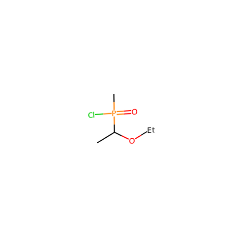 CCOC(C)P(C)(=O)Cl